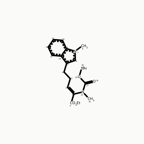 CCOC(=O)C(=CCCc1cn(C)c2ccccc12)N(C)C(=O)OC(C)(C)C